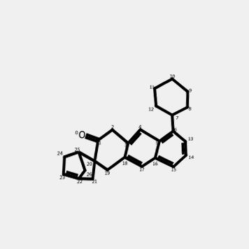 O=C1Cc2cc3c(C4CCCCC4)cccc3cc2CC12CC1=CCC2C1